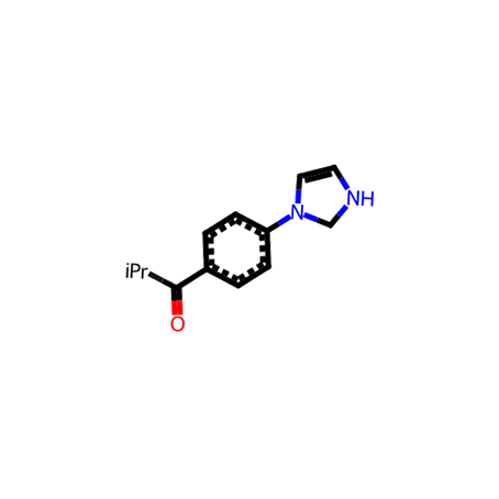 CC(C)C(=O)c1ccc(N2C=CNC2)cc1